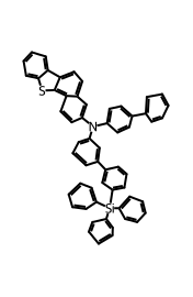 c1ccc(-c2ccc(N(c3cccc(-c4cccc([Si](c5ccccc5)(c5ccccc5)c5ccccc5)c4)c3)c3ccc4c(ccc5c6ccccc6sc45)c3)cc2)cc1